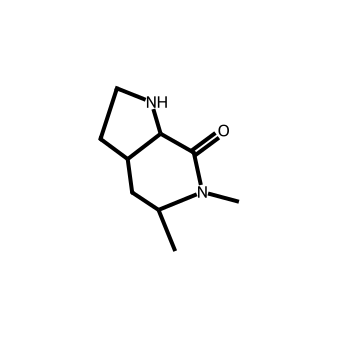 CC1CC2CCNC2C(=O)N1C